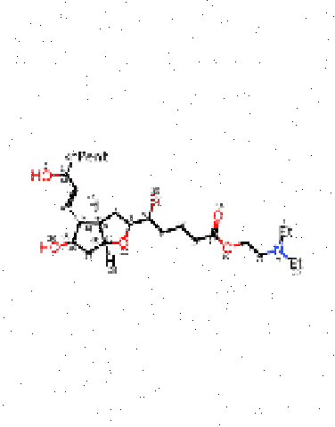 CCCCC[C@H](O)C=C[C@@H]1[C@H]2CC(C(Br)CCCC(=O)OCCN(CC)CC)O[C@@H]2C[C@H]1O